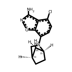 Nc1noc2c(N3C[C@@H]4CC[C@H]3[C@@H]4N)ccc(Cl)c12